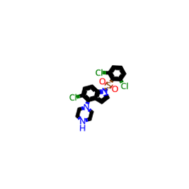 O=S(=O)(c1c(Cl)cccc1Cl)n1ccc2c(N3CCNCC3)c(Cl)ccc21